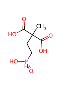 CC(CC[PH](=O)O)(C(=O)O)C(=O)O